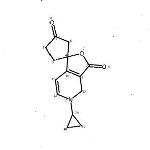 O=C1CCC2(C1)OC(=O)C1=C2C=CN(C2CC2)C1